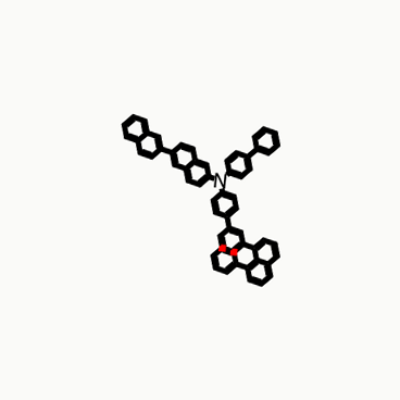 c1ccc(-c2ccc(N(c3ccc(-c4cccc(-c5cccc6cccc(-c7ccccc7)c56)c4)cc3)c3ccc4cc(-c5ccc6ccccc6c5)ccc4c3)cc2)cc1